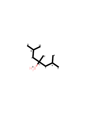 BC(C)(CC(C)C)CC(C)C